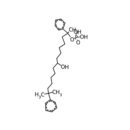 CC(C)(CCCCCC(O)CCCCCC(C)(OP(=O)(O)O)c1ccccc1)c1ccccc1